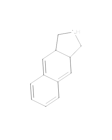 C1=c2ccccc2=CC2CNCC12